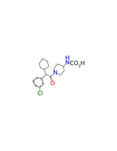 O=C(O)NC1CCN(C(=O)C(c2cccc(Cl)c2)C2CCCCC2)CC1